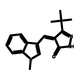 Cn1cc(/C=C2\C(=O)NN=C2C(C)(C)C)c2ccccc21